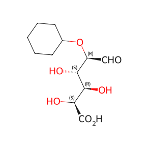 O=C[C@H](OC1CCCCC1)[C@@H](O)[C@@H](O)[C@H](O)C(=O)O